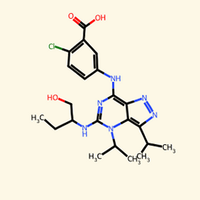 CCC(CO)Nc1nc(Nc2ccc(Cl)c(C(=O)O)c2)c2nnc(C(C)C)c-2n1C(C)C